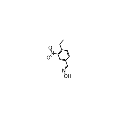 CCc1ccc(C=NO)cc1[N+](=O)[O-]